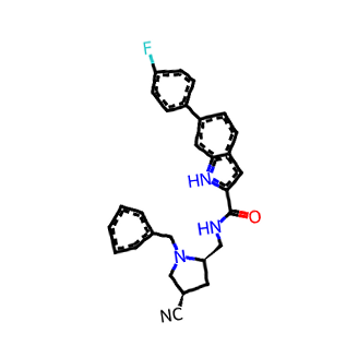 N#C[C@@H]1C[C@H](CNC(=O)c2cc3ccc(-c4ccc(F)cc4)cc3[nH]2)N(Cc2ccccc2)C1